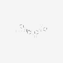 Cc1cc(N(CCO)Cc2ccccc2)ccc1C(C)c1ccc(N(CCO)Cc2ccccc2)cc1C